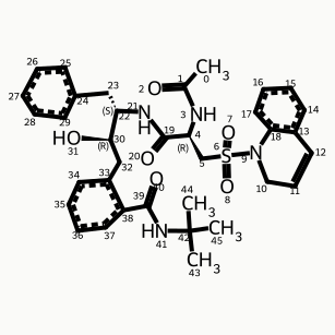 CC(=O)N[C@@H](CS(=O)(=O)N1CC=Cc2ccccc21)C(=O)N[C@@H](Cc1ccccc1)[C@H](O)Cc1ccccc1C(=O)NC(C)(C)C